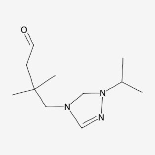 CC(C)N1CN(CC(C)(C)CC=O)C=N1